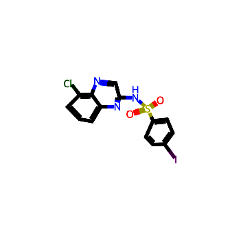 O=S(=O)(Nc1cnc2c(Cl)cccc2n1)c1ccc(I)cc1